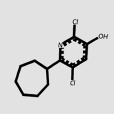 Oc1cc(Cl)c(C2CCCCCC2)nc1Cl